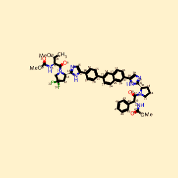 COC(=O)N[C@H](C(=O)N1CC(F)(F)C[C@H]1c1ncc(-c2ccc(-c3ccc4cc(-c5cnc([C@@H]6CCCN6C(=O)[C@H](NC(=O)OC)c6ccccc6)[nH]5)ccc4c3)cc2)[nH]1)[C@@H](C)OC